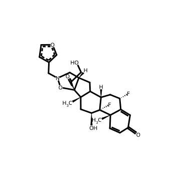 C[C@]12C=CC(=O)C=C1[C@@H](F)C[C@H]1C3C[C@H]4CN(Cc5ccoc5)O[C@@]4(C(=O)CO)[C@@]3(C)C[C@H](O)[C@@]12F